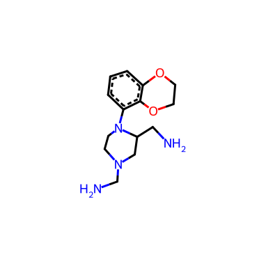 NCC1CN(CN)CCN1c1cccc2c1OCCO2